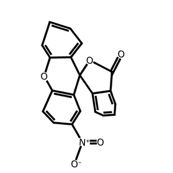 O=C1OC2(c3ccccc3Oc3ccc([N+](=O)[O-])cc32)c2ccccc21